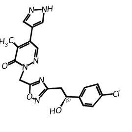 Cc1c(-c2cn[nH]c2)cnn(Cc2nc(C[C@H](O)c3ccc(Cl)cc3)no2)c1=O